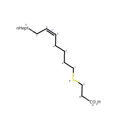 CCCCCCCC/C=C\CCCCSCCC(=O)O